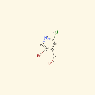 Clc1cc(CBr)c(Br)cn1